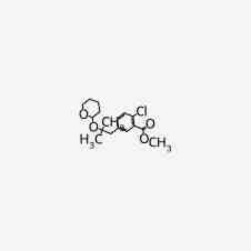 COC(=O)c1cc(CC(C)(C)OC2CCCCO2)ccc1Cl